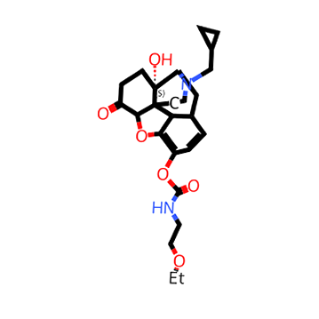 CCOCCNC(=O)OC1=C2OC3C(=O)CC[C@@]4(O)C5CC(C=C1)C2C34CCN5CC1CC1